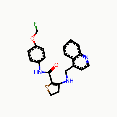 O=C(Nc1ccc(OCF)cc1)C1=C(NCc2ccnc3ccccc23)CCS1